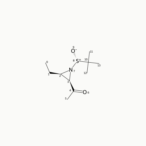 CC[C@@H]1[C@H](C(C)=O)N1[S@+]([O-])C(C)(C)C